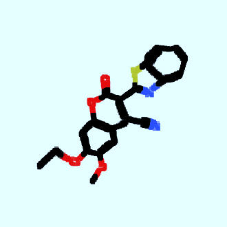 CCOc1cc2oc(=O)c(-c3nc4ccccc4s3)c(C#N)c2cc1OC